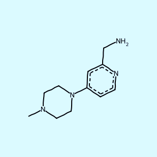 CN1CCN(c2ccnc(CN)c2)CC1